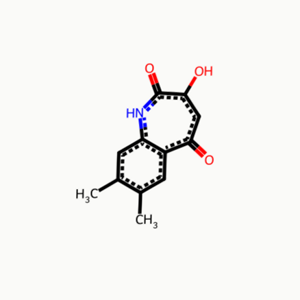 Cc1cc2[nH]c(=O)c(O)cc(=O)c2cc1C